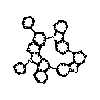 c1ccc(-c2cccc(-n3c4ccccc4c4cc(-c5cccc6oc7ccc(-c8cc9c%10ccccc%10n(-c%10ccccc%10)c9c9ccccc89)cc7c56)ccc43)c2)cc1